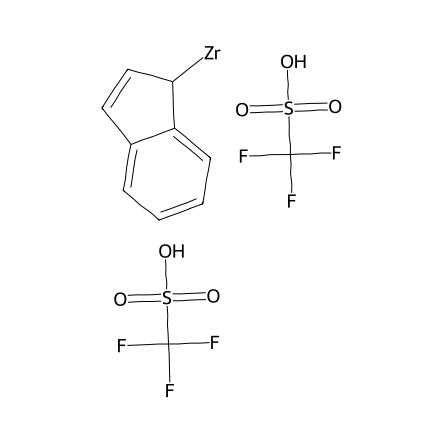 O=S(=O)(O)C(F)(F)F.O=S(=O)(O)C(F)(F)F.[Zr][CH]1C=Cc2ccccc21